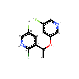 CC(Oc1cncc(F)c1)c1cc(F)cnc1Cl